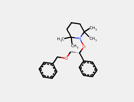 CC1(C)CCCC(C)(C)N1O[C@@H](COCc1ccccc1)c1ccccc1